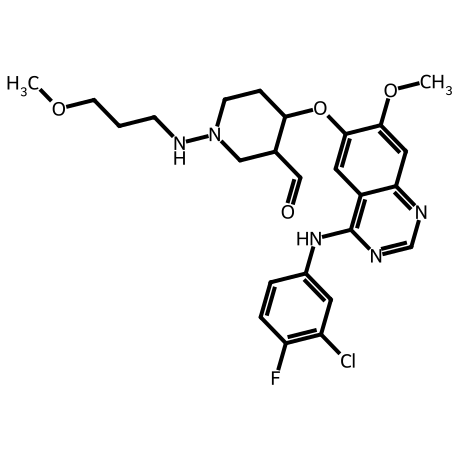 COCCCNN1CCC(Oc2cc3c(Nc4ccc(F)c(Cl)c4)ncnc3cc2OC)C(C=O)C1